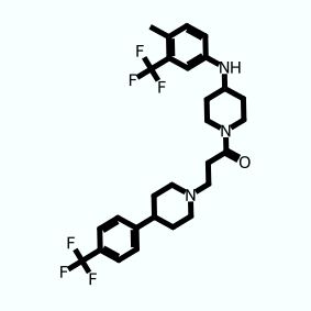 Cc1ccc(NC2CCN(C(=O)CCN3CCC(c4ccc(C(F)(F)F)cc4)CC3)CC2)cc1C(F)(F)F